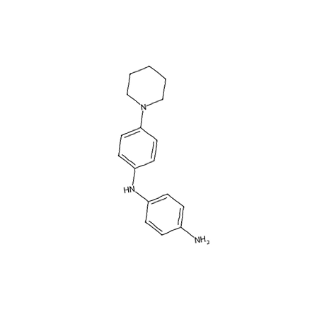 Nc1ccc(Nc2ccc(N3CCCCC3)cc2)cc1